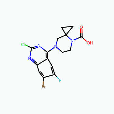 O=C(O)N1CCN(c2nc(Cl)nc3cc(Br)c(F)cc23)CC12CC2